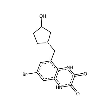 O=c1[nH]c2cc(Br)cc(CN3CCC(O)C3)c2[nH]c1=O